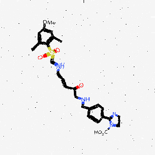 COc1cc(C)c(S(=O)(=O)CNCC=CC(=O)CNCc2ccc(C3=NCCN3C(=O)O)cc2)c(C)c1